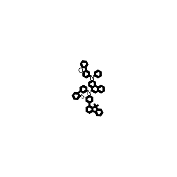 CC1(C)c2ccccc2-c2cccc(-c3ccc(N(c4cc5ccccc5c5cc(N(c6ccccc6)c6ccc7oc8ccccc8c7c6)ccc45)c4cccc5c4sc4ccccc45)cc3)c21